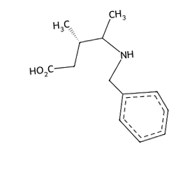 CC(NCc1ccccc1)[C@@H](C)CC(=O)O